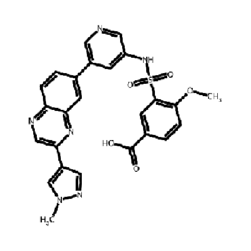 COc1ccc(C(=O)O)cc1S(=O)(=O)Nc1cncc(-c2ccc3ncc(-c4cnn(C)c4)nc3c2)c1